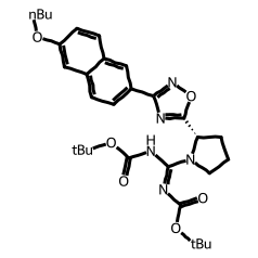 CCCCOc1ccc2cc(-c3noc([C@@H]4CCCN4/C(=N\C(=O)OC(C)(C)C)NC(=O)OC(C)(C)C)n3)ccc2c1